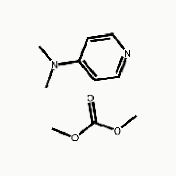 CN(C)c1ccncc1.COC(=O)OC